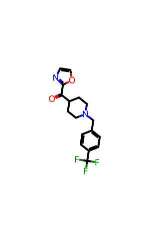 O=C(c1ncco1)C1CCN(Cc2ccc(C(F)(F)F)cc2)CC1